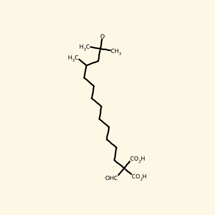 CC(CCCCCCCCCC([C]=O)(C(=O)O)C(=O)O)CC(C)(C)[O]